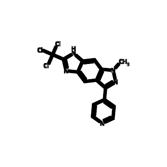 Cn1nc(-c2ccncc2)c2cc3nc(C(Cl)(Cl)Cl)[nH]c3cc21